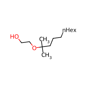 CCCCCCCCCC(C)(C)OCCO